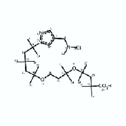 CCN(C)Cc1cnn(C(C)(C)CC(C)(C)CC(C)(C)OCCC(C)(C)OC(C)(C)CC(C)(C)C(=O)O)c1